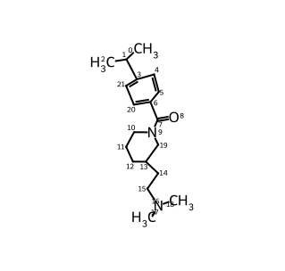 CC(C)c1ccc(C(=O)N2CCCC(CCN(C)C)C2)cc1